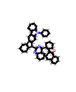 c1ccc(-n2c3ccccc3c3cc4c(cc32)C(c2nc(-c3cccc5oc6c7ccccc7ccc6c35)c3ccccc3n2)c2ccccc2-4)cc1